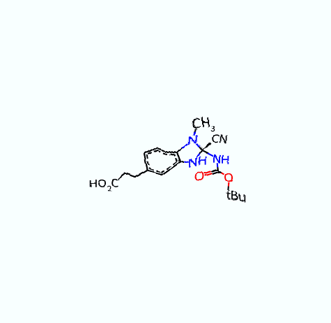 CN1c2ccc(CCC(=O)O)cc2N[C@@]1(C#N)NC(=O)OC(C)(C)C